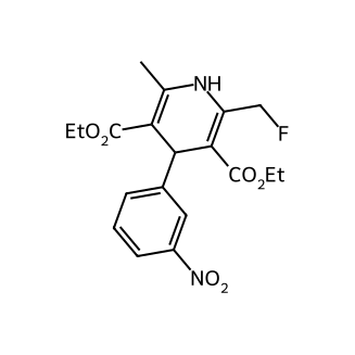 CCOC(=O)C1=C(C)NC(CF)=C(C(=O)OCC)C1c1cccc([N+](=O)[O-])c1